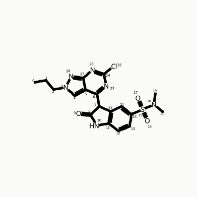 CCCn1cc2c(C3C(=O)Nc4ccc(S(=O)(=O)N(C)C)cc43)nc(Cl)nc2n1